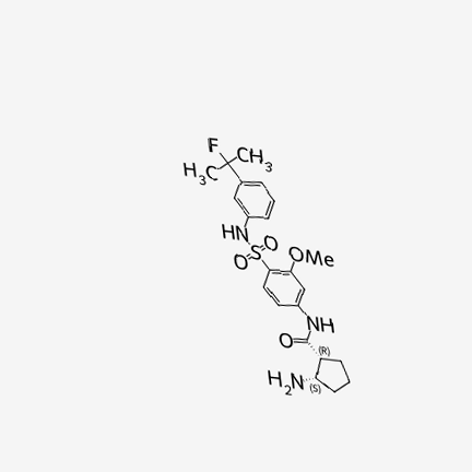 COc1cc(NC(=O)[C@@H]2CCC[C@@H]2N)ccc1S(=O)(=O)Nc1cccc(C(C)(C)F)c1